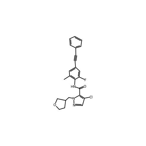 Cc1cc(C#Cc2ccccc2)cc(F)c1NC(=O)c1c(Cl)cnn1CC1CCOC1